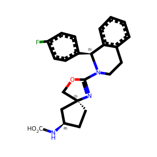 O=C(O)N[C@@H]1CC[C@@]2(COC(N3CCc4ccccc4[C@@H]3c3ccc(F)cc3)=N2)C1